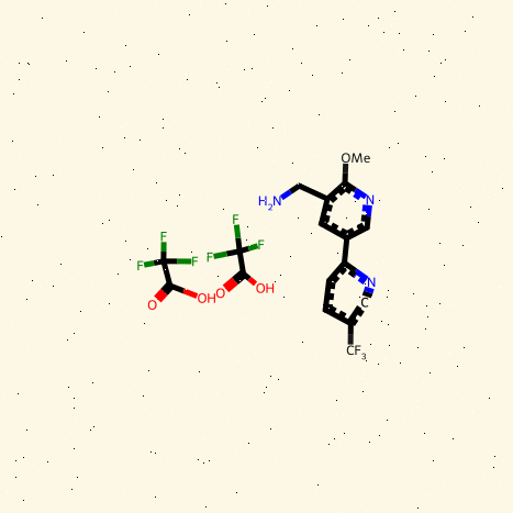 COc1ncc(-c2ccc(C(F)(F)F)cn2)cc1CN.O=C(O)C(F)(F)F.O=C(O)C(F)(F)F